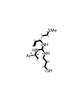 C=C[C@H](CCSC)NC(NCCCS)N[C@@H](C)C(C)=O